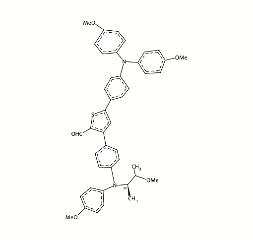 COc1ccc(N(c2ccc(OC)cc2)c2ccc(-c3cc(-c4ccc(N(c5ccc(OC)cc5)[C@H](C)C(C)OC)cc4)c(C=O)s3)cc2)cc1